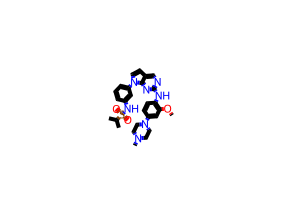 COc1cc(N2CCN(C)CC2)ccc1Nc1ncc2ccn(-c3cccc(NS(=O)(=O)C(C)C)c3)c2n1